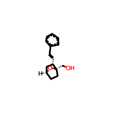 OC[C@@]12CC[C@@H](C[C@@H]1/C=C/c1ccccc1)O2